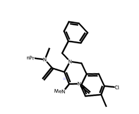 C=N/C(NC)=C(/C(=C)N(C)CCC)N(Cc1ccccc1)Cc1ccc(C)c(Cl)c1